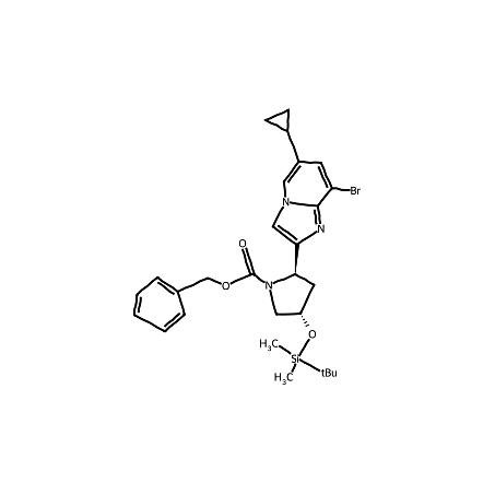 CC(C)(C)[Si](C)(C)O[C@H]1C[C@H](c2cn3cc(C4CC4)cc(Br)c3n2)N(C(=O)OCc2ccccc2)C1